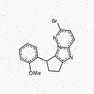 COc1ccccc1C1CCc2nc3ccc(Br)nn3c21